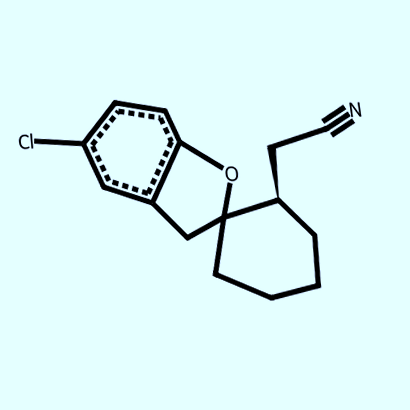 N#CC[C@H]1CCCCC12Cc1cc(Cl)ccc1O2